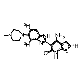 [2H]c1cc2c(N)c(-c3nc4c([2H])c(N5CCN(C)CC5)c([2H])cc4[nH]3)c(=O)[nH]c2s1